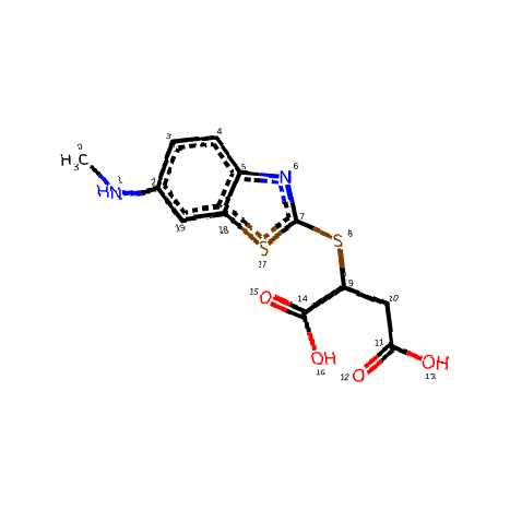 CNc1ccc2nc(SC(CC(=O)O)C(=O)O)sc2c1